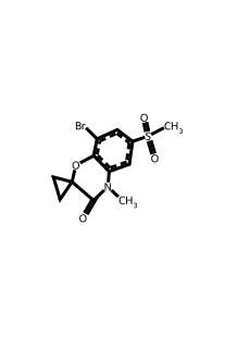 CN1C(=O)C2(CC2)Oc2c(Br)cc(S(C)(=O)=O)cc21